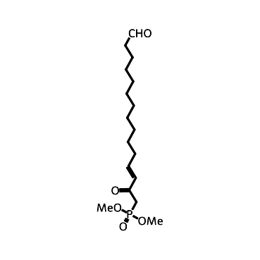 COP(=O)(CC(=O)C=CCCCCCCCCCCC=O)OC